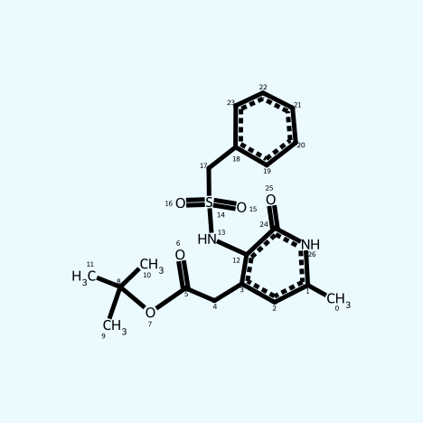 Cc1cc(CC(=O)OC(C)(C)C)c(NS(=O)(=O)Cc2ccccc2)c(=O)[nH]1